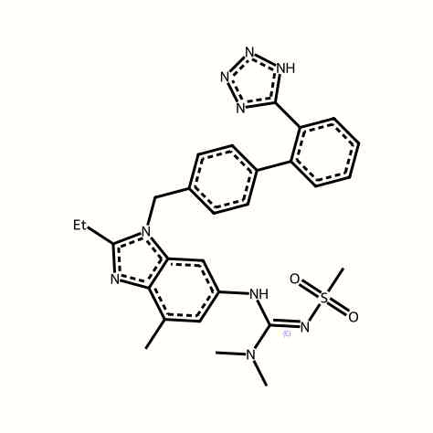 CCc1nc2c(C)cc(N/C(=N\S(C)(=O)=O)N(C)C)cc2n1Cc1ccc(-c2ccccc2-c2nnn[nH]2)cc1